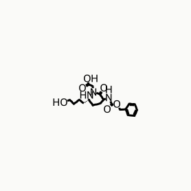 O=C(O)CN1N[C@@H](CCCCO)CCC(NC(=O)OCc2ccccc2)C1=O